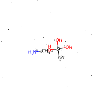 CCC[Si](O)(O)O.CN